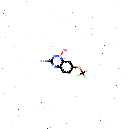 Nc1nc2ccc(OC(F)(F)F)cc2[n+](O)n1